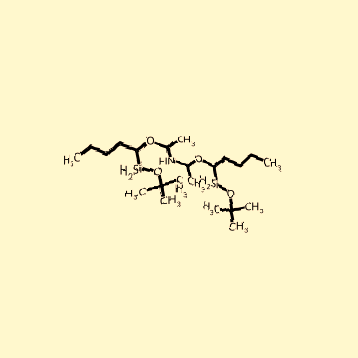 CCCCC(OC(C)NC(C)OC(CCCC)[SiH2]OC(C)(C)C)[SiH2]OC(C)(C)C